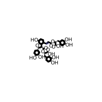 O=C(/C=C/c1ccc(O)c2c1[C@@H](C(=O)O[C@H](Cc1ccc(O)c(O)c1)C(=O)O)[C@H](c1ccc(O)c(O)c1)O2)O[C@H](Cc1ccc(O)c(O)c1)C(=O)O